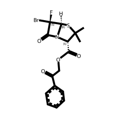 CC1(C)S[C@H]2N(C(=O)[C@]2(F)Br)[C@H]1C(=O)OCC(=O)c1ccccc1